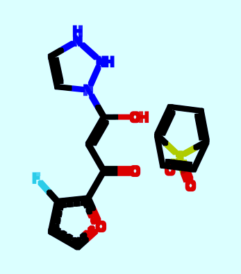 O=C(C=C(O)N1C=CNN1)c1occc1F.O=S1(=O)C2=CC=C1C=C2